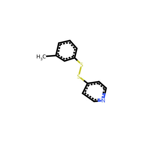 Cc1cccc(SSc2ccncc2)c1